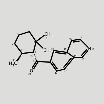 C[C@H]1CCCC(C)(C)[C@@H]1C(=O)c1ccc2cnccc2c1